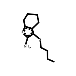 CCCCSc1c(N)sc2c1CCCC2